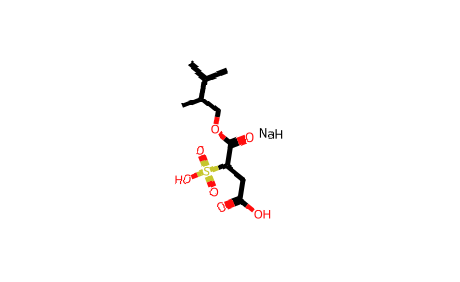 CC(C)C(C)COC(=O)C(CC(=O)O)S(=O)(=O)O.[NaH]